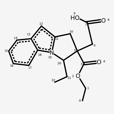 CCOC(=O)C1(CC(=O)O)Cc2cc3ccccc3n2C1CC